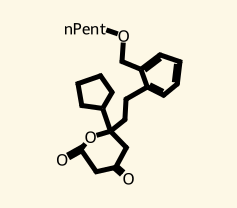 CCCCCOCc1ccccc1CCC1(C2CCCC2)CC(=O)CC(=O)O1